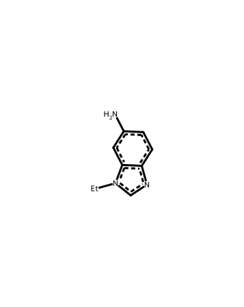 CCn1cnc2ccc(N)cc21